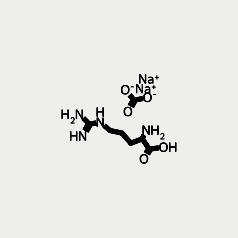 N=C(N)NCCCC(N)C(=O)O.O=C([O-])[O-].[Na+].[Na+]